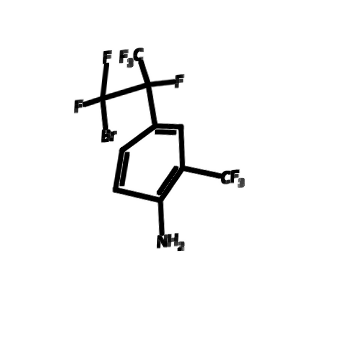 Nc1ccc(C(F)(C(F)(F)F)C(F)(F)Br)cc1C(F)(F)F